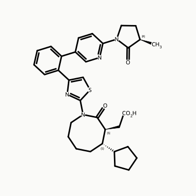 C[C@@H]1CCN(c2ccc(-c3ccccc3-c3csc(N4CCCC[C@@H](C5CCCC5)[C@H](CC(=O)O)C4=O)n3)cn2)C1=O